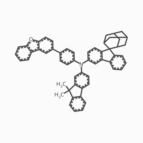 CC1(C)c2ccccc2-c2ccc(N(c3ccc(-c4ccc5oc6ccccc6c5c4)cc3)c3ccc4c(c3)-c3ccccc3C43C4CC5CC(C4)CC3C5)cc21